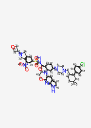 CC1(C)CCC(CN2CCN(c3ccc(C(=O)NS(=O)(=O)c4cc5c(c([N+](=O)[O-])c4)CN(C4COC4)C5)c(N4CCOc5nc6[nH]ccc6cc54)c3)CC2)=C(c2ccc(Cl)cc2)C1